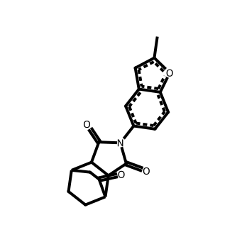 Cc1cc2cc(N3C(=O)C4C5CCC(C(=O)C5)C4C3=O)ccc2o1